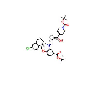 CC(C)(C)OC(=O)c1ccc2c(c1)N(C[C@@H]1CC[C@H]1[C@@H](O)C1=CCN(C(=O)OC(C)(C)C)CC1)C[C@@]1(CCCc3cc(Cl)ccc31)CO2